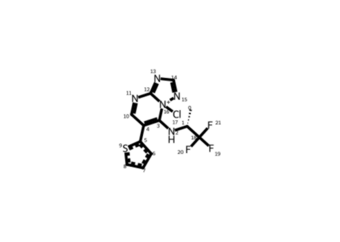 C[C@@H](NC1=C(c2cccs2)C=NC2=NC=N[N+]21Cl)C(F)(F)F